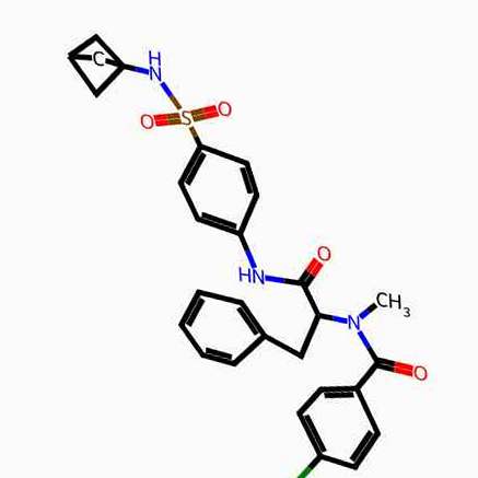 CN(C(=O)c1ccc(F)cc1)C(Cc1ccccc1)C(=O)Nc1ccc(S(=O)(=O)NC23CC(C2)C3)cc1